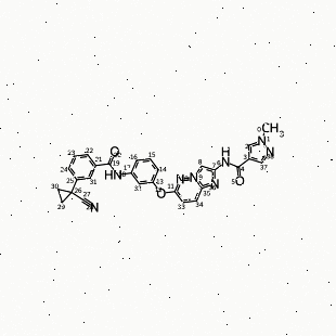 Cn1cc(C(=O)Nc2cn3nc(Oc4cccc(NC(=O)c5cccc(C6(C#N)CC6)c5)c4)ccc3n2)cn1